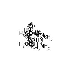 CCN(CCNCCN)Cc1ccc(-c2cc(NC3CCOCC3)c(C)c(C(=O)NCc3c(C)cc(C)[nH]c3=O)c2)cc1